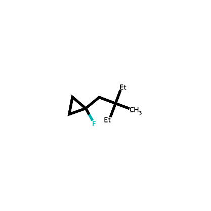 CCC(C)(CC)CC1(F)CC1